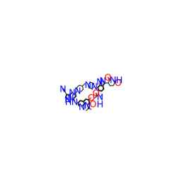 CNC(=O)COc1cc2cc(Nc3cc(N4CCC(CN5CCN(c6cccc7c(C8CCC(=O)NC8=O)nn(C)c67)CC5)CC4)nc4c(C#N)cnn34)cnc2n(C(C)C)c1=O